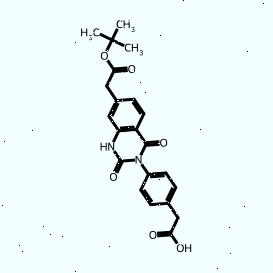 CC(C)(C)OC(=O)Cc1ccc2c(=O)n(-c3ccc(CC(=O)O)cc3)c(=O)[nH]c2c1